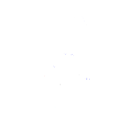 Cc1c(-c2c(C(N)=O)nc3cc(F)ccc3c2C(N)=O)c(C(F)(F)F)nn1Cc1ccc(C(=O)N(C)C)cc1